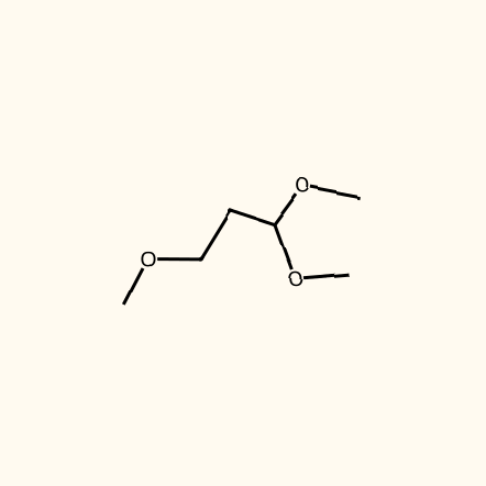 COCCC(OC)OC